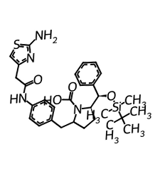 CC(C)(C)[Si](C)(C)O[C@H](c1ccccc1)[C@H]1CCC(Cc2ccc(NC(=O)Cc3csc(N)n3)cc2)N1C(=O)O